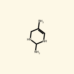 BC1=CNC(N)NC1